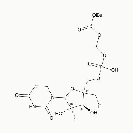 CC(C)COC(=O)OCOP(=O)(O)OC[C@@]1(CF)OC(n2ccc(=O)[nH]c2=O)[C@](C)(O)[C@@H]1O